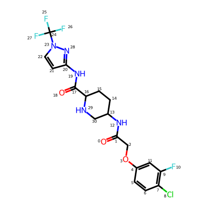 O=C(COc1ccc(Cl)c(F)c1)NC1CCC(C(=O)Nc2ccn(C(F)(F)F)n2)NC1